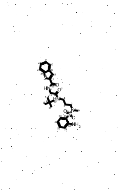 CN(CCCNC(=O)[C@H](CC(C)(C)C)NC(=O)c1cc2ccccc2s1)S(=O)(=O)c1ccccc1N